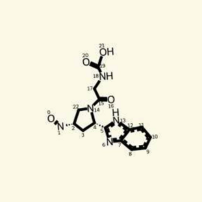 O=N[C@H]1C[C@@H](c2nc3ccccc3[nH]2)N(C(=O)CNC(=O)O)C1